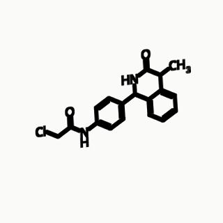 CC1C(=O)NC(c2ccc(NC(=O)CCl)cc2)c2ccccc21